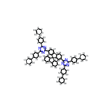 C1=CCC(c2ccc(-c3nc(-c4ccc(C5=CCCC=C5)cc4)nc(-c4ccc5c(c4)C4(c6ccccc6-c6ccccc64)c4cc(-c6nc(-c7ccc(-c8ccccc8)cc7)nc(-c7ccc(C8C=CC=CC8)cc7)n6)ccc4-5)n3)cc2)C=C1